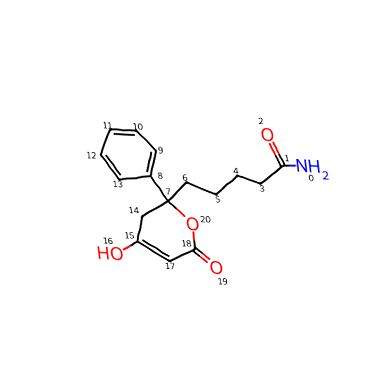 NC(=O)CCCCC1(c2ccccc2)CC(O)=CC(=O)O1